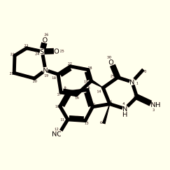 CN1C(=N)N[C@](C)(c2cccc(C#N)c2)[C@@H](c2ccc(N3CCCCS3(=O)=O)cc2)C1=O